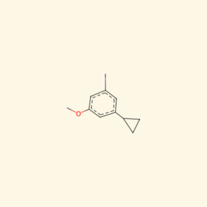 COc1cc(I)cc(C2CC2)c1